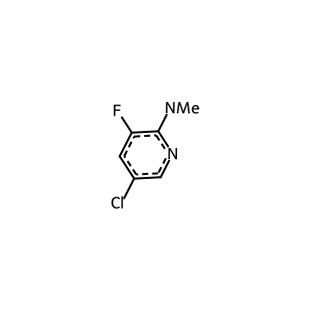 CNc1ncc(Cl)cc1F